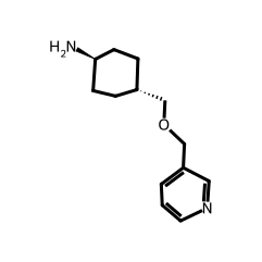 N[C@H]1CC[C@H](COCc2cccnc2)CC1